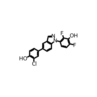 Oc1ccc(-c2ccc3c(cnn3-c3ccc(F)c(O)c3F)c2)cc1Cl